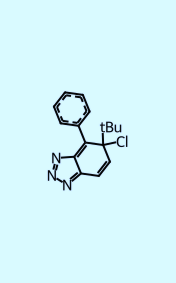 CC(C)(C)C1(Cl)C=CC2=NN=NC2=C1c1ccccc1